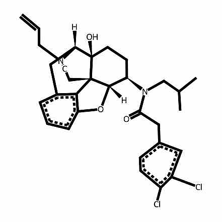 C=CCN1CC[C@]23c4c5cccc4O[C@H]2[C@H](N(CC(C)C)C(=O)Cc2ccc(Cl)c(Cl)c2)CC[C@@]3(O)[C@H]1C5